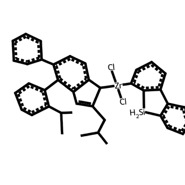 CC(C)CC1=Cc2c(ccc(-c3ccccc3)c2-c2ccccc2C(C)C)[CH]1[Zr]([Cl])([Cl])[c]1cccc2c1[SiH2]c1ccccc1-2